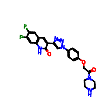 O=C(COc1ccc(-n2cc(-c3cc4cc(F)c(F)cc4[nH]c3=O)nn2)cc1)N1CCNCC1